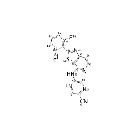 N#Cc1cnc(Nc2nccc3nc(-c4c(F)cccc4Cl)sc23)cn1